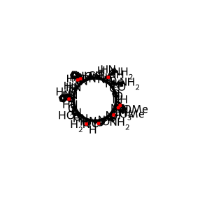 CCCC[C@H]1C(=O)N(C)[C@@H](CCCC)C(=O)N[C@@H](CCCNC(=N)N)C(=O)N[C@H](C(=O)NCC(N)=O)CSCC(=O)N[C@@H](Cc2ccc(OC)c(OC)c2)C(=O)N(C)[C@@H](C)C(=O)NC(CC(N)=O)C(=O)N2CCC[C@H]2C(=O)N[C@@H](CN)C(=O)N[C@@H](CC(C)C)C(=O)N2C[C@H](O)CC2C(=O)N[C@@H](Cc2c[nH]c3ccccc23)C(=O)N[C@@H](C)C(=O)N[C@@H](Cc2c[nH]c3ccccc23)C(=O)N1C